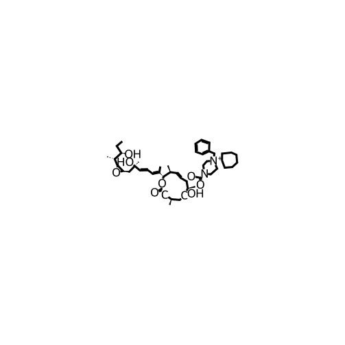 CC[C@H](O)[C@@H](C)[C@H]1O[C@@H]1C[C@@](C)(O)/C=C/C=C(\C)[C@H]1OC(=O)C[C@H](C)CC[C@@](C)(O)[C@@H](OC(=O)N2CC[N+](Cc3ccccc3)(C3CCCCCC3)CC2)/C=C/[C@@H]1C